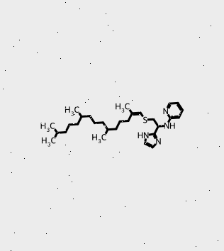 CC(=CSCC(Nc1ccccn1)c1ncc[nH]1)CCCC(C)CCCC(C)CCCC(C)C